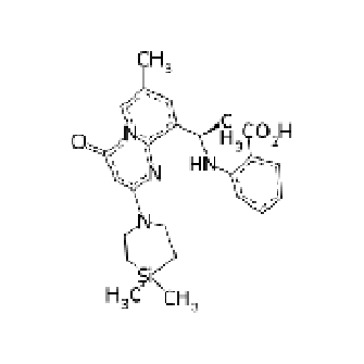 Cc1cc([C@@H](C)Nc2ccccc2C(=O)O)c2nc(N3CC[Si](C)(C)CC3)cc(=O)n2c1